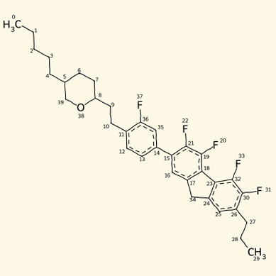 CCCCCC1CCC(CCc2ccc(-c3cc4c(c(F)c3F)-c3c(cc(CCC)c(F)c3F)C4)cc2F)OC1